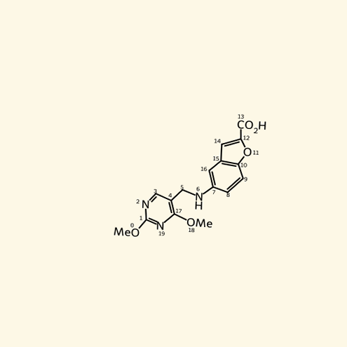 COc1ncc(CNc2ccc3oc(C(=O)O)cc3c2)c(OC)n1